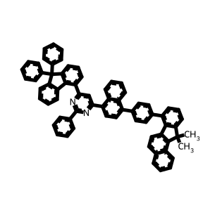 CC1(C)c2cccc(-c3ccc(-c4ccc(-c5cc(-c6cccc7c6-c6ccccc6C7(c6ccccc6)c6ccccc6)nc(-c6ccccc6)n5)c5ccccc45)cc3)c2-c2ccc3ccccc3c21